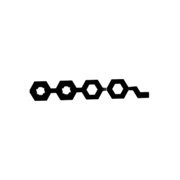 C=CC[C@H]1CC[C@H](C2CCC(c3ccc(-c4ccccc4)cc3)CC2)CC1